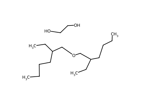 CCCCC(CC)COCC(CC)CCCC.OCCO